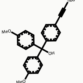 CCCCC#Cc1ccc(C(O)(c2ccc(OC)cc2)c2ccc(OC)cc2)cc1